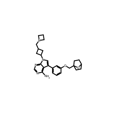 Nc1ncnc2c1c(-c1cccc(OCC34CCC(CC3)O4)c1)cn2C1CC(CN2CCC2)C1